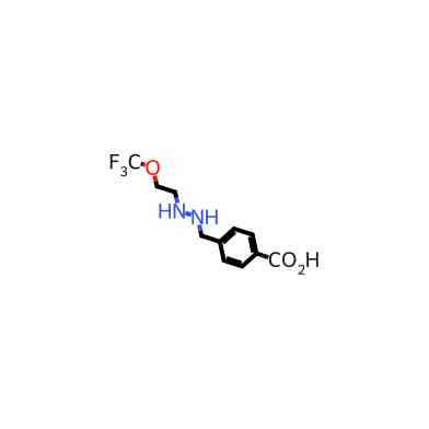 O=C(O)c1ccc(CNNCCOC(F)(F)F)cc1